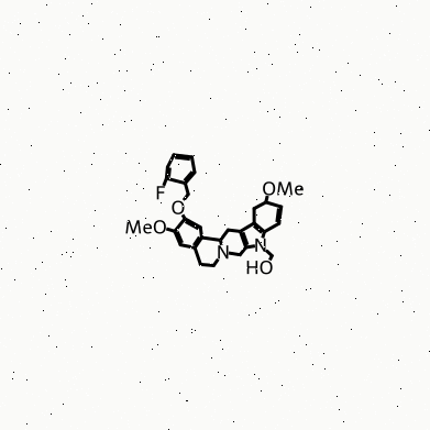 COc1cc2c(cc1OCc1ccccc1F)C1Cc3c4c(n(CO)c3CN1CC2)C=CC(OC)C4